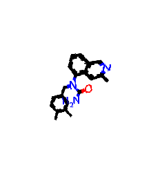 Cc1cc2c(N(Cc3ccc(C)c(C)c3)C(N)=O)cccc2cn1